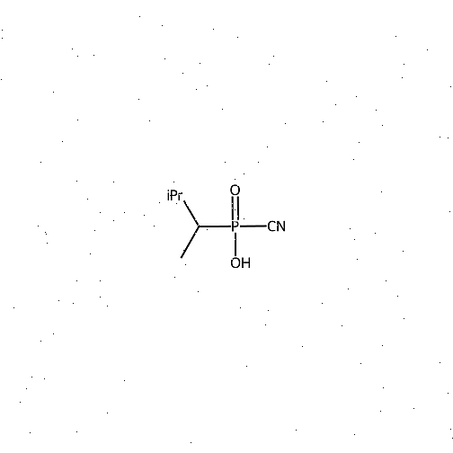 CC(C)C(C)P(=O)(O)C#N